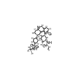 C=CC(=O)Nc1cc(-n2c(=O)ccc3cnc4ccc(-c5ccc(S(=O)(=O)NC(C)(C)C)cc5)cc4c32)ccc1C